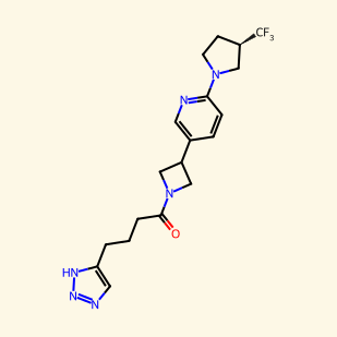 O=C(CCCc1cnn[nH]1)N1CC(c2ccc(N3CC[C@@H](C(F)(F)F)C3)nc2)C1